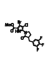 COC(=O)c1[nH]c(N2CCC(Cc3cc(F)c(F)c(F)c3)C2=O)c(Cl)c1Br